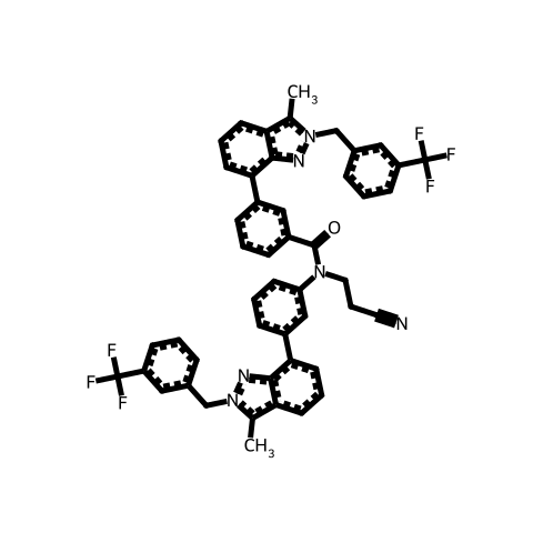 Cc1c2cccc(-c3cccc(C(=O)N(CCC#N)c4cccc(-c5cccc6c(C)n(Cc7cccc(C(F)(F)F)c7)nc56)c4)c3)c2nn1Cc1cccc(C(F)(F)F)c1